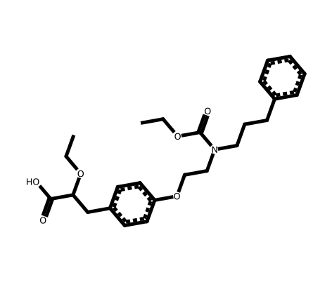 CCOC(=O)N(CCCc1ccccc1)CCOc1ccc(CC(OCC)C(=O)O)cc1